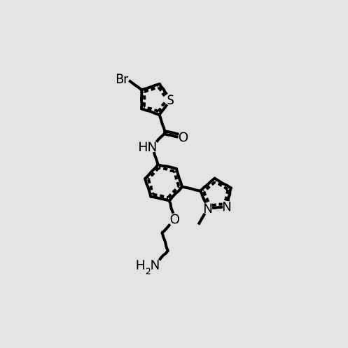 Cn1nccc1-c1cc(NC(=O)c2cc(Br)cs2)ccc1OCCN